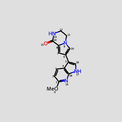 COc1ccc2c(-c3cc4n(c3)CCNC4=O)c[nH]c2n1